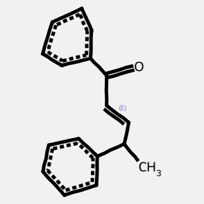 CC(/C=C/C(=O)c1ccccc1)c1ccccc1